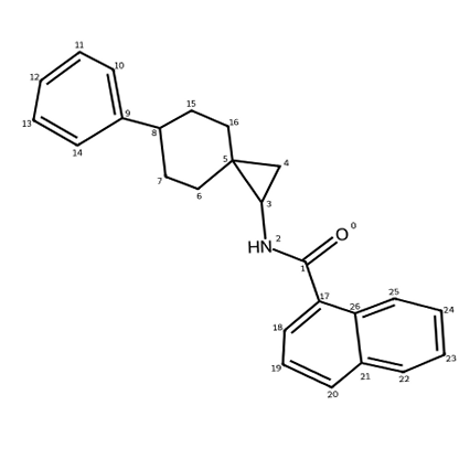 O=C(NC1CC12CCC(c1ccccc1)CC2)c1cccc2ccccc12